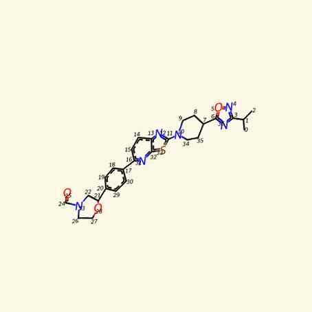 CC(C)c1noc(C2CCN(c3nc4ccc(-c5ccc(C6CN(C=O)CCO6)cc5)nc4s3)CC2)n1